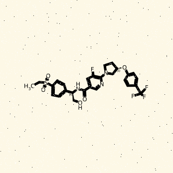 CCS(=O)(=O)c1ccc([C@H](CO)NC(=O)c2cnc(N3CC[C@H](Oc4ccc(C(F)(F)F)cc4)C3)c(F)c2)cc1